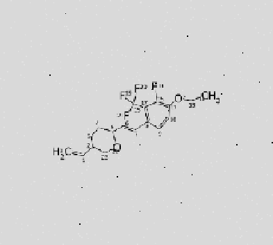 C=CC1CCC(/C=C/c2ccc(OCC)c(F)c2C(F)(F)F)OC1